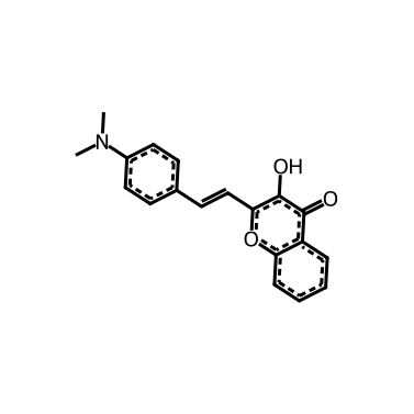 CN(C)c1ccc(C=Cc2oc3ccccc3c(=O)c2O)cc1